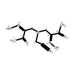 CC(=O)/C(CN(CC#N)C/C(=N/O)C(C)=O)=N\O